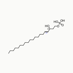 CCCCCCCCCCCCCCC/C=C/[C@@H](O)CCOP(=O)(O)O